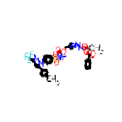 Cc1ccc(-c2cc(C(F)(F)F)nn2-c2ccc(S(=O)(=O)NC(=O)OCC3CN(N=NOC(C)OC(=O)c4ccccc4)C3)cc2)cc1